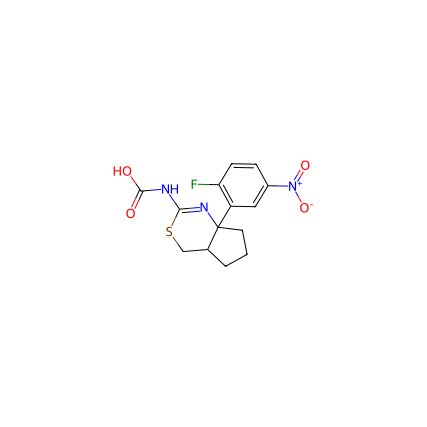 O=C(O)NC1=NC2(c3cc([N+](=O)[O-])ccc3F)CCCC2CS1